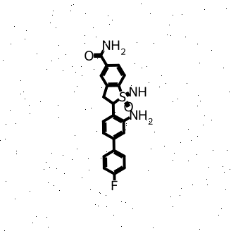 N=S1(=O)c2ccc(C(N)=O)cc2CC1c1ccc(-c2ccc(F)cc2)cc1N